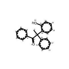 CC(C(=O)c1ccccc1)(c1ccccc1)c1ccccc1O